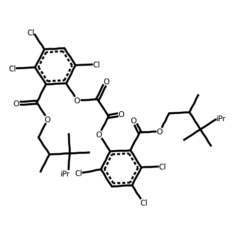 CC(C)C(C)(C)C(C)COC(=O)c1c(Cl)c(Cl)cc(Cl)c1OC(=O)C(=O)Oc1c(Cl)cc(Cl)c(Cl)c1C(=O)OCC(C)C(C)(C)C(C)C